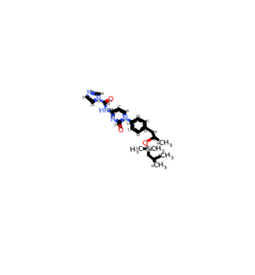 CC(C)C[Si](C)(C)OC(C)Cc1ccc(-n2ccc(NC(=O)n3ccnc3)nc2=O)cc1